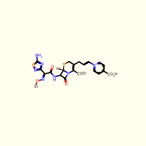 CCON=C(C(=O)NC1C(=O)N2C(C(=O)[O-])=C(CC=C[n+]3ccc(C(=O)O)cc3)CS[C@@H]12)c1nsc(N)n1